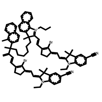 C=C(C=CC1=C(Br)C(=CC=C2N(CC)c3ccc(C#N)cc3C2(C)C)CC1)C(C)(CCCCCCC1(C)C(C=CC2=C(Br)C(=CC=C3N(CC)c4ccc(C#N)cc4C3(C)C)CC2)=[N+](CCC)c2c1ccc1ccccc21)c1ccc2ccccc2c1C